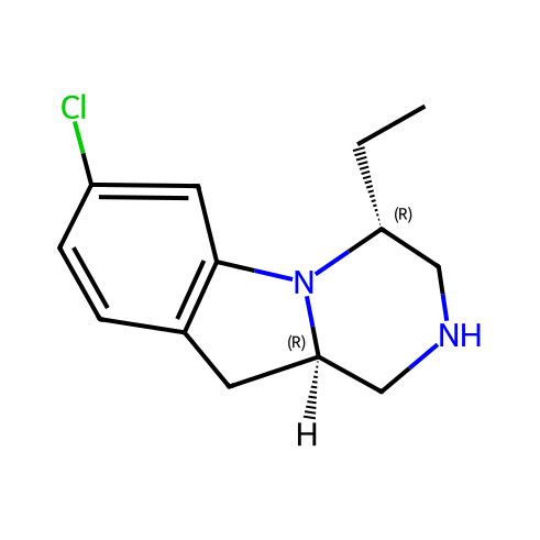 CC[C@@H]1CNC[C@H]2Cc3ccc(Cl)cc3N12